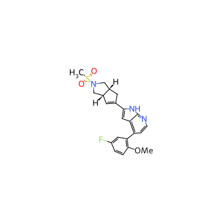 COc1ccc(F)cc1-c1ccnc2[nH]c(C3=C[C@@H]4CN(S(C)(=O)=O)C[C@@H]4C3)cc12